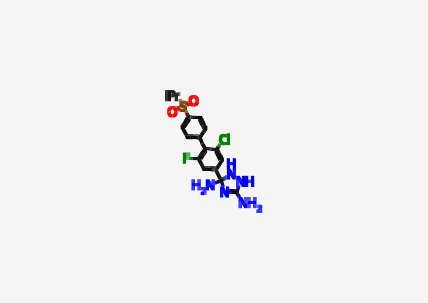 CC(C)S(=O)(=O)c1ccc(-c2c(F)cc(C3(N)N=C(N)NN3)cc2Cl)cc1